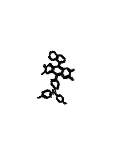 Cc1ccc(N(c2ccc(C)cc2)c2ccc(-c3c4cc(C)c(C)cc4c(-c4cccc5c4CCCC5)c4cc(C)c(C)cc34)cc2)cc1